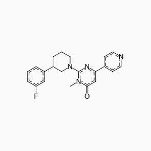 Cn1c(N2CCCC(c3cccc(F)c3)C2)nc(-c2ccncc2)cc1=O